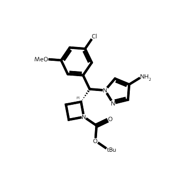 COc1cc(Cl)cc(C([C@H]2CCN2C(=O)OC(C)(C)C)n2cc(N)cn2)c1